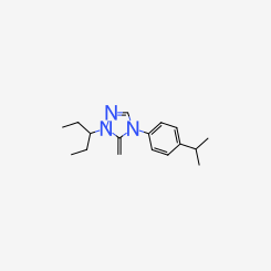 C=C1N(c2ccc(C(C)C)cc2)C=NN1C(CC)CC